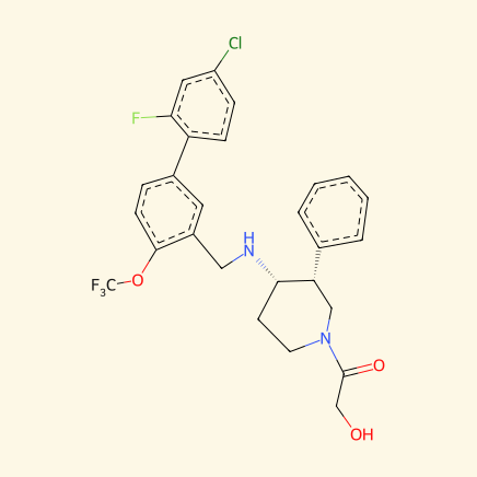 O=C(CO)N1CC[C@H](NCc2cc(-c3ccc(Cl)cc3F)ccc2OC(F)(F)F)[C@H](c2ccccc2)C1